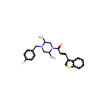 CC1CN(C(=O)C=Cc2csc3ccccc23)C(C)CN1Cc1ccc(F)cc1